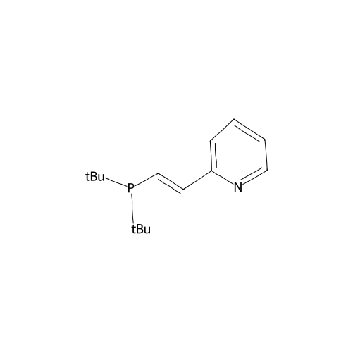 CC(C)(C)P(C=Cc1ccccn1)C(C)(C)C